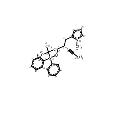 CC#C[C@H](CO[Si](c1ccccc1)(c1ccccc1)C(C)(C)C)Cc1cncn1C